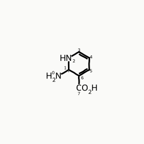 N[C]1NC=CC=C1C(=O)O